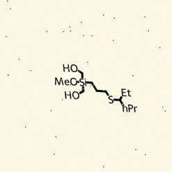 CCCC(CC)SCCC[Si](CO)(CO)OC